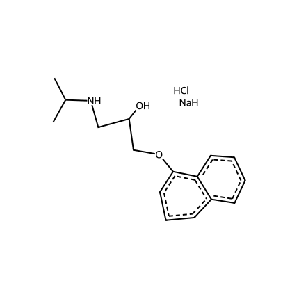 CC(C)NCC(O)COc1cccc2ccccc12.Cl.[NaH]